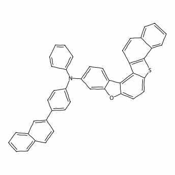 c1ccc(N(c2ccc(-c3ccc4ccccc4c3)cc2)c2ccc3c(c2)oc2ccc4sc5c6ccccc6ccc5c4c23)cc1